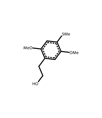 COc1cc(SC)c(OC)cc1CCO